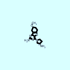 COC1CCc2sc3c(N4CC[C@H](N)C4)nc(N)nc3c2C1